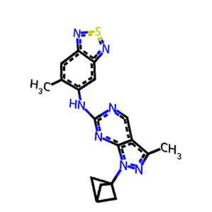 Cc1cc2nsnc2cc1Nc1ncc2c(C)nn(C34CC(C3)C4)c2n1